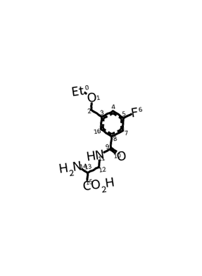 CCOCc1cc(F)cc(C(=O)NCC(N)C(=O)O)c1